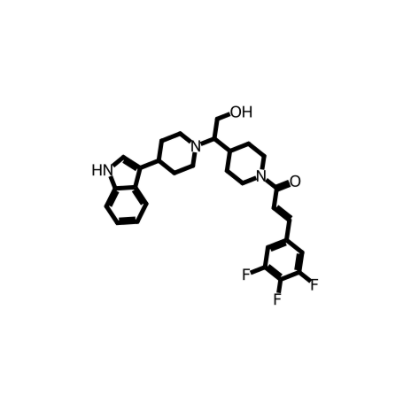 O=C(C=Cc1cc(F)c(F)c(F)c1)N1CCC(C(CO)N2CCC(c3c[nH]c4ccccc34)CC2)CC1